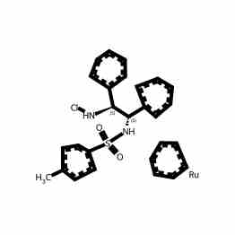 Cc1ccc(S(=O)(=O)N[C@@H](c2ccccc2)[C@@H](NCl)c2ccccc2)cc1.[Ru].c1ccccc1